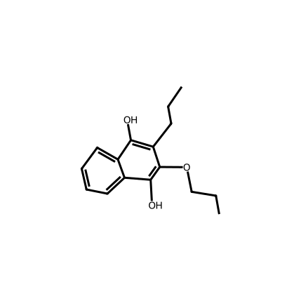 CCCOc1c(CCC)c(O)c2ccccc2c1O